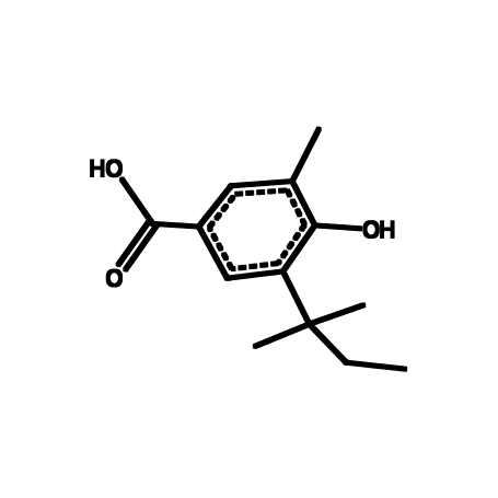 CCC(C)(C)c1cc(C(=O)O)cc(C)c1O